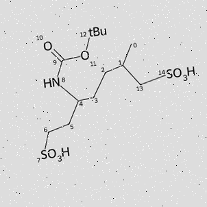 CC(CCC(CCS(=O)(=O)O)NC(=O)OC(C)(C)C)CS(=O)(=O)O